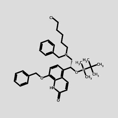 CC(C)(C)[Si](C)(C)O[C@@H](CN(CCCCCCl)Cc1ccccc1)c1ccc(OCc2ccccc2)c2[nH]c(=O)ccc12